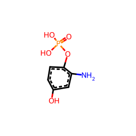 Nc1cc(O)ccc1OP(=O)(O)O